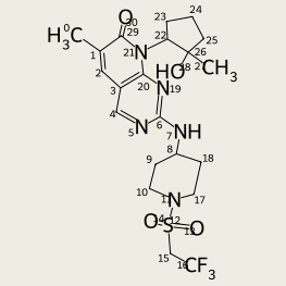 Cc1cc2cnc(NC3CCN(S(=O)(=O)CC(F)(F)F)CC3)nc2n(C2CCCC2(C)O)c1=O